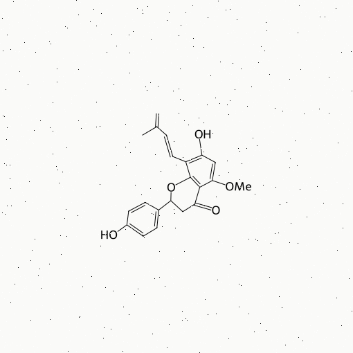 C=C(C)C=Cc1c(O)cc(OC)c2c1OC(c1ccc(O)cc1)CC2=O